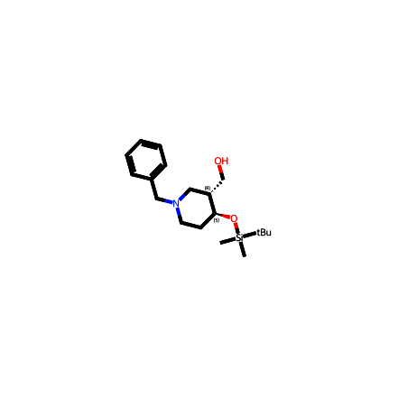 CC(C)(C)[Si](C)(C)O[C@H]1CCN(Cc2ccccc2)C[C@@H]1CO